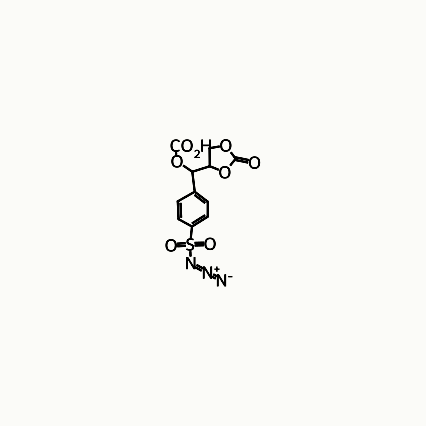 [N-]=[N+]=NS(=O)(=O)c1ccc(C(OC(=O)O)C2COC(=O)O2)cc1